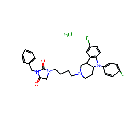 Cl.O=C1CN(CCCCN2CCC3C(C2)c2cc(F)ccc2N3c2ccc(F)cc2)C(=O)N1Cc1ccccc1